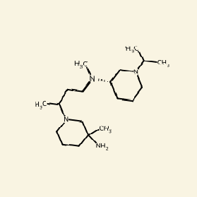 CC(C)N1CCC[C@H](N(C)CCC(C)N2CCCC(C)(N)C2)C1